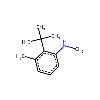 CNc1cccc(C)c1C(C)(C)C